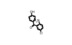 Nc1ccc(Cl)cc1C(=O)c1ccc(O)cc1